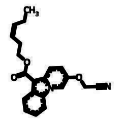 CC/C=C\CCOC(=O)c1c2ccccc2n2cc(OCC#N)ccc12